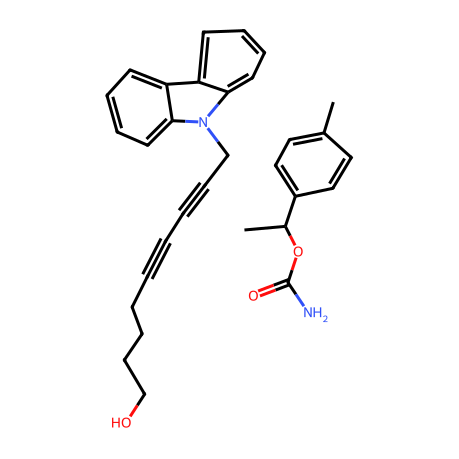 Cc1ccc(C(C)OC(N)=O)cc1.OCCCCC#CC#CCn1c2ccccc2c2ccccc21